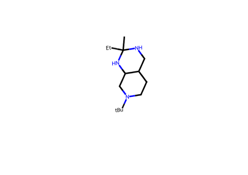 CCC1(C)NCC2CCN(C(C)(C)C)CC2N1